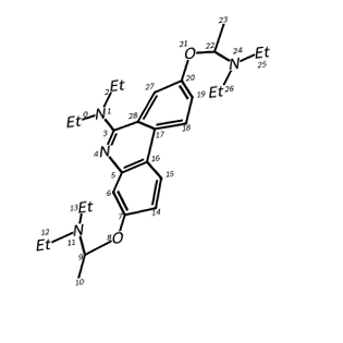 CCN(CC)c1nc2cc(OC(C)N(CC)CC)ccc2c2ccc(OC(C)N(CC)CC)cc12